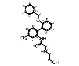 O=C(CNCCO)Nc1cc(Cl)ccc1-c1ccccc1OCc1ccccc1